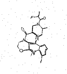 C=C(F)C(=O)N1CC2C(=O)N3CCOc4nc5c(F)cccc5c(c43)N2CC1C